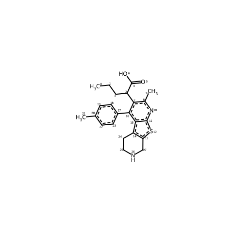 CCCC(C(=O)O)c1c(C)nc2sc3c(c2c1-c1ccc(C)cc1)CCNC3